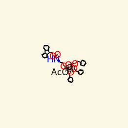 CC(=O)O[C@@H]1[C@@H](OCCCNC(=O)OCC2c3ccccc3-c3ccccc32)O[C@H](COCc2ccccc2)[C@@H](OCc2ccccc2)[C@@H]1OCc1ccccc1